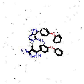 N#Cc1c(N)n[nH]c1-c1ccc(Oc2ccccc2)cc1.Nc1ncnc2[nH]nc(-c3ccc(Oc4ccccc4)cc3)c12